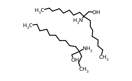 CCCCCCCCC(N)(CO)CCCCCCCC.CCCCCCCCCCC(N)(CO)CCC